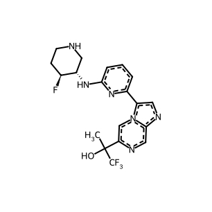 CC(O)(c1cn2c(-c3cccc(N[C@H]4CNCC[C@@H]4F)n3)cnc2cn1)C(F)(F)F